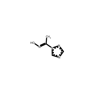 CC(=NO)n1cncn1